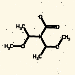 COC(C)N(C([O])=O)C(C)OC